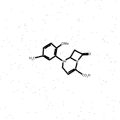 [CH2]c1ccc(OC)c([SH]2CC=C(C(=O)O)N3C(=O)CC32)c1